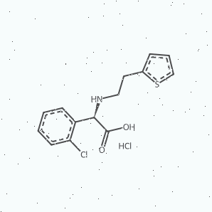 Cl.O=C(O)[C@H](NCCc1cccs1)c1ccccc1Cl